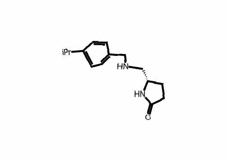 CC(C)c1ccc(CNC[C@@H]2CCC(=O)N2)cc1